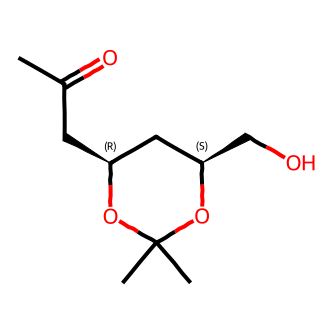 CC(=O)C[C@H]1C[C@@H](CO)OC(C)(C)O1